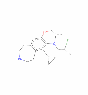 C[C@@H](F)CN1c2c(cc3c(c2C2CC2)CCNCC3)OC[C@@H]1C